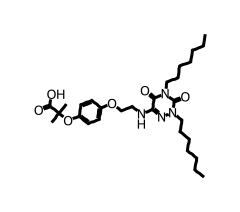 CCCCCCCn1nc(NCCOc2ccc(OC(C)(C)C(=O)O)cc2)c(=O)n(CCCCCCC)c1=O